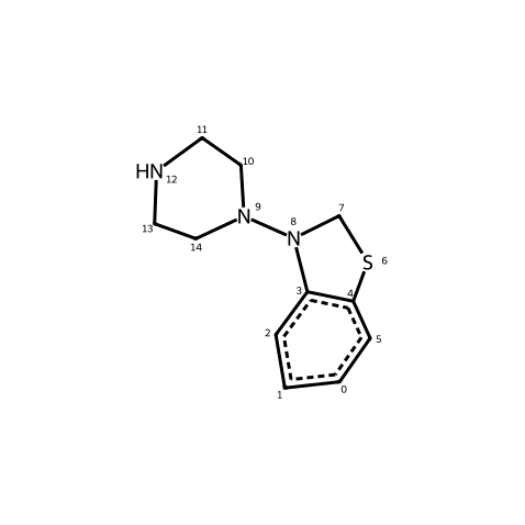 c1ccc2c(c1)SCN2N1CCNCC1